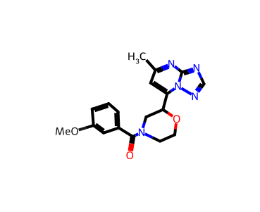 COc1cccc(C(=O)N2CCOC(c3cc(C)nc4ncnn34)C2)c1